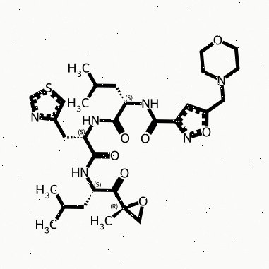 CC(C)C[C@H](NC(=O)c1cc(CN2CCOCC2)on1)C(=O)N[C@@H](Cc1cscn1)C(=O)N[C@@H](CC(C)C)C(=O)[C@@]1(C)CO1